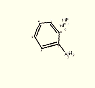 F.F.[AlH2][c]1ccccc1